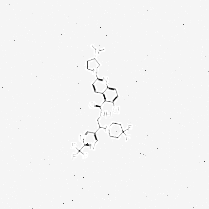 CN(C)[C@H]1CCN(c2ccc3c(C(=O)NCC(c4cnc(C(F)(F)F)nc4)N4CCC(F)(F)CC4)c(Cl)ccc3n2)C1